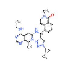 Cn1ccc2c([C@H](Nc3cc4c(NCC(C)(C)C)ncnc4c(C#N)n3)c3cn(C4CC45CC5)nn3)cccc2c1=O